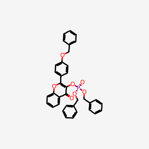 O=c1c(OP(=O)(OCc2ccccc2)OCc2ccccc2)c(-c2ccc(OCc3ccccc3)cc2)oc2ccccc12